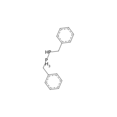 c1ccc(CP[PH3]Cc2ccccc2)cc1